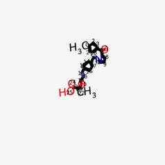 Cc1ccc(C(=O)c2cccn2Cc2ccc(/C=C/CO[C@H](C)C(=O)O)cc2)cc1